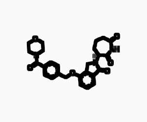 O=C1CCC[C@H](N2Cc3c(OCc4ccc(C(=O)N5CCOCC5)cc4)cccc3C2=O)C(=O)N1